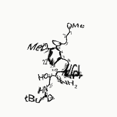 COCCCOc1cc(CC(CC(N)C(O)CNC(=O)C(C)(C)C)C(C)C)ccc1OC.Cl